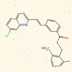 Cc1cccc(C(=O)O)c1CCC(=O)c1cccc(C=Cc2ccc3ccc(Cl)cc3n2)c1